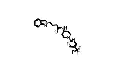 O=C(CCCn1cc2ccccc2n1)NC1CCN(c2ncc(C(F)(F)F)cn2)CC1